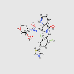 O=C(N[C@H]1CCOC[C@@H]1O)c1cn(Cc2c(F)cc(-c3cncs3)cc2F)c(=O)c2cccnc12